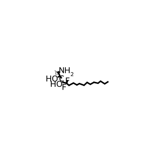 CCCCCCCCCCCCC(F)(F)C(O)CC(O)[C@H](C)N